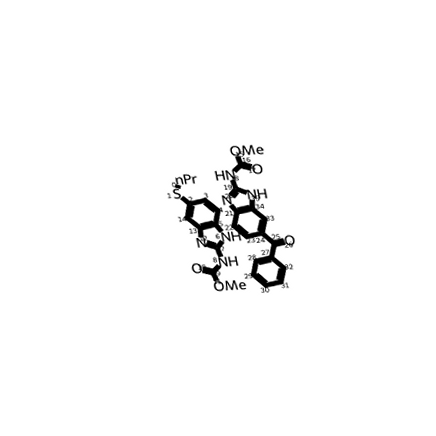 CCCSc1ccc2[nH]c(NC(=O)OC)nc2c1.COC(=O)Nc1nc2ccc(C(=O)c3ccccc3)cc2[nH]1